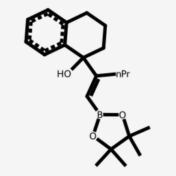 CCC/C(=C\B1OC(C)(C)C(C)(C)O1)C1(O)CCCc2ccccc21